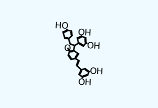 Oc1ccc(C2Oc3ccc(/C=C/c4cc(O)cc(O)c4)cc3C2c2cc(O)cc(O)c2)cc1